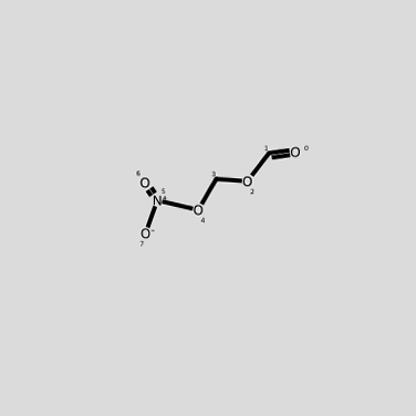 O=COCO[N+](=O)[O-]